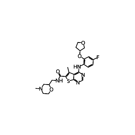 Cc1c(C(=O)NCC2CN(C)CCO2)sc2ncnc(Nc3ccc(F)cc3O[C@H]3CCOC3)c12